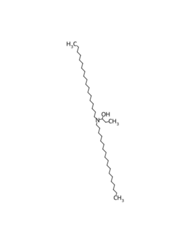 CCCCCCCCCCCCCCCCCCCN(CCCCCCCCCCCCCCCCCCC)C(O)CC